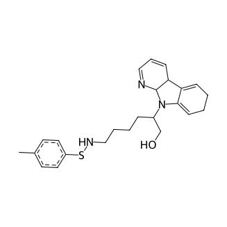 Cc1ccc(SNCCCCC(CO)N2C3=CCCC=C3C3C=CC=NC32)cc1